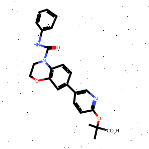 CC(C)(Oc1ccc(-c2ccc3c(c2)OCCN3C(=O)Nc2ccccc2)cn1)C(=O)O